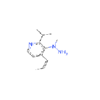 C/C=C\c1ccnc(C(C)C)c1N(C)N